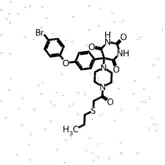 CCCSCC(=O)N1CCN(C2(c3ccc(Oc4ccc(Br)cc4)cc3)C(=O)NC(=O)NC2=O)CC1